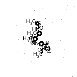 C=CC(=O)Nc1cc(Nc2cc(-c3cccc(NC(=O)c4cc(C)cs4)c3C)cn(C)c2=O)ccc1C(=O)N1CCOCC1